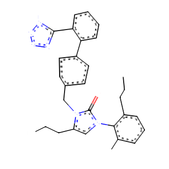 CCCc1cccc(C)c1-n1cc(CCC)n(Cc2ccc(-c3ccccc3-c3nnn[nH]3)cc2)c1=O